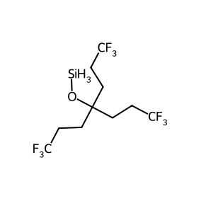 FC(F)(F)CCC(CCC(F)(F)F)(CCC(F)(F)F)O[SiH3]